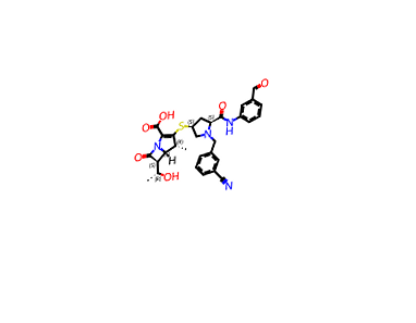 C[C@@H](O)[C@H]1C(=O)N2C(C(=O)O)=C(S[C@H]3C[C@@H](C(=O)Nc4cccc(C=O)c4)N(Cc4cccc(C#N)c4)C3)[C@H](C)[C@H]12